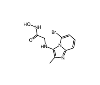 Cc1nc2cccc(Br)n2c1NCC(=O)NO